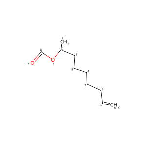 C=CCCCCCC(C)O[C]=O